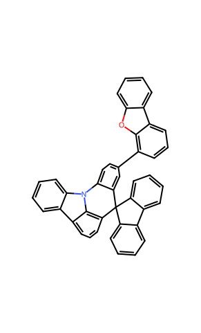 c1ccc2c(c1)-c1ccccc1C21c2cc(-c3cccc4c3oc3ccccc34)ccc2-n2c3ccccc3c3cccc1c32